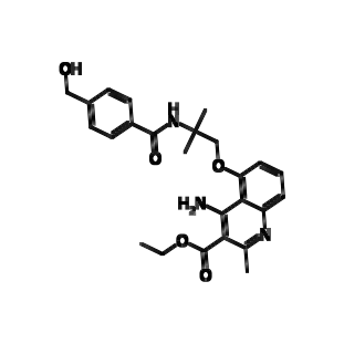 CCOC(=O)c1c(C)nc2cccc(OCC(C)(C)NC(=O)c3ccc(CO)cc3)c2c1N